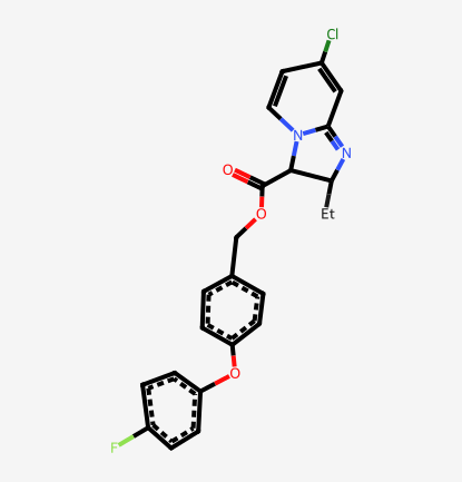 CCC1N=C2C=C(Cl)C=CN2C1C(=O)OCc1ccc(Oc2ccc(F)cc2)cc1